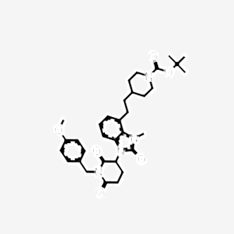 COc1ccc(CN2C(=O)CCC(n3c(=O)n(C)c4c(CCC5CCN(C(=O)OC(C)(C)C)CC5)cccc43)C2=O)cc1